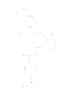 O=C(O)c1ccc(C2(NC(=O)c3cccc4ccn(Cc5ccc(C(F)(F)F)cc5Br)c34)CC2)cc1